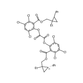 CCC1(COC(=O)c2c(Cl)c(Cl)cc(Cl)c2OC(=O)C(=O)Oc2c(Cl)cc(Cl)c(Cl)c2C(=O)OCC2(CC)C[C@H]2C(C)C)CC1C(C)C